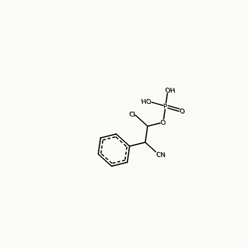 N#CC(c1ccccc1)C(Cl)OP(=O)(O)O